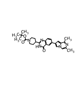 Cc1cn2cc(-c3ccc4nc(C5CCN(C(=O)OC(C)(C)C)CC5)[nH]c(=O)c4c3)cc2c(C)n1